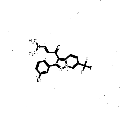 CN(C)C=CC(=O)c1c(-c2cccc(Br)c2)nn2cc(C(F)(F)F)ccc12